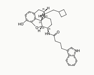 O=C(CCCc1c[nH]c2ccccc12)N[C@@H]1CC[C@@]2(O)[C@H]3Cc4ccc(O)c5c4[C@@]2(CCN3CC2CCC2)[C@H]1O5